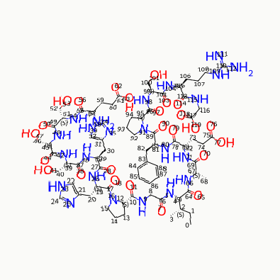 CC[C@H](C)[C@H](NC(=O)CNC(=O)[C@@H]1CCCN1C(=O)[C@H](Cc1c[nH]cn1)NC(=O)[C@H](Cc1c[nH]cn1)NC(=O)[C@H](CO)NC(=O)[C@H](CO)NC(=O)[C@H](CO)NC(=O)[C@@H](N)CCC(=O)O)C(=O)N[C@@H](C)C(=O)N[C@@H](CCC(=O)O)C(=O)N[C@@H](Cc1ccccc1)C(=O)N1CCC[C@H]1C(=O)N[C@@H](CO)C(=O)N[C@@H](CCCNC(=N)N)C(=O)NCC(=O)O